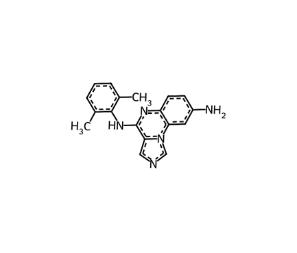 Cc1cccc(C)c1Nc1nc2ccc(N)cc2n2cncc12